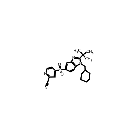 CC(C)(C)c1nc2cc(S(=O)(=O)c3ccnc(C#N)c3)ccc2n1CC1CCCCC1